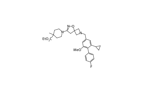 CCOC(=O)C1(C)CCN(C2=NOC3(C2)CN(Cc2cc(OC)c(-c4ccc(F)cc4)c(C4CC4)c2)C3)CC1